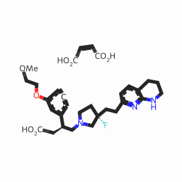 COCCOc1cccc([C@H](CC(=O)O)CN2CC[C@@](F)(CCc3ccc4c(n3)NCCC4)C2)c1.O=C(O)/C=C\C(=O)O